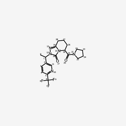 CC(c1ccc(C(F)(F)F)nc1)n1nc2n(c1=O)C(C(=O)N1CCCC1)CCC2